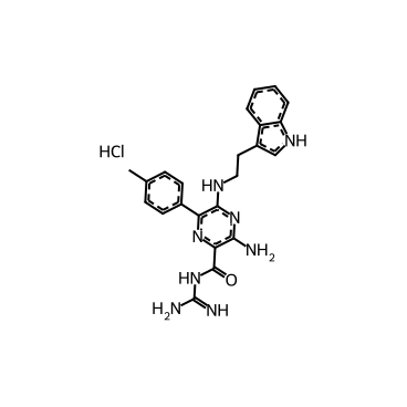 Cc1ccc(-c2nc(C(=O)NC(=N)N)c(N)nc2NCCc2c[nH]c3ccccc23)cc1.Cl